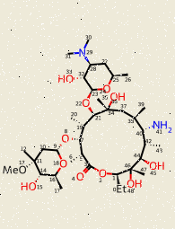 CC[C@H]1OC(=O)[C@H](C)[C@H](O[C@H]2C[C@@](C)(OC)[C@@H](O)[C@H](C)O2)[C@H](C)[C@@H](O[C@@H]2O[C@H](C)C[C@H](N(C)C)[C@H]2O)[C@](C)(O)C[C@@H](C)[C@H](N)[C@H](C)[C@@H](O)[C@]1(C)O